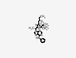 CCCCCC[C@@H](O[Si](C)(C)C(C)(C)C)[C@@H](C)n1cnc2c(Nc3ccccc3)ncnc21